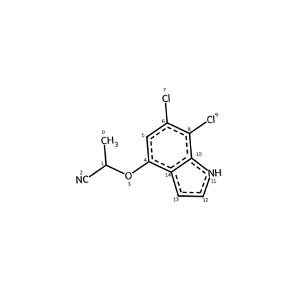 CC(C#N)Oc1cc(Cl)c(Cl)c2[nH]ccc12